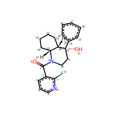 O=C(c1cccnc1F)N1CC[C@](O)(c2ccccc2)[C@H]2CCCC[C@H]21